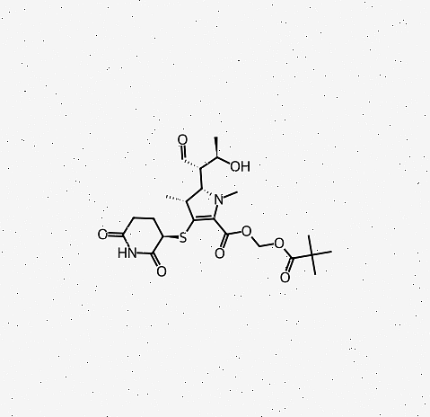 C[C@@H](O)[C@@H](C=O)[C@H]1[C@@H](C)C(S[C@@H]2CCC(=O)NC2=O)=C(C(=O)OCOC(=O)C(C)(C)C)N1C